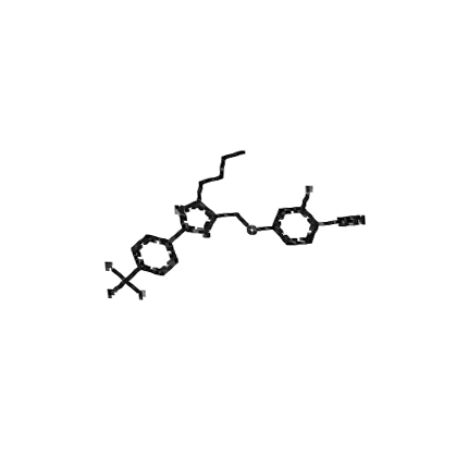 CCCCc1nc(-c2ccc(C(F)(F)F)cc2)sc1COc1ccc(C#N)c(F)c1